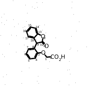 O=C(O)COc1ccccc1C1C(=O)Oc2ccccc21